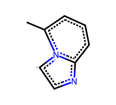 Cc1cccc2nc[c]n12